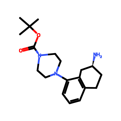 CC(C)(C)OC(=O)N1CCN(c2cccc3c2C[C@H](N)CC3)CC1